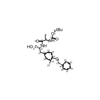 CC(NC(=O)OC(C)(C)C)C(=O)NC(Cc1ccc(OCc2ccccc2)c(I)c1)C(=O)O